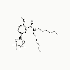 CCCCCCN(CCCCCC)C(=O)c1cc(B2OC(C)(C)C(C)(C)O2)ccc1OC